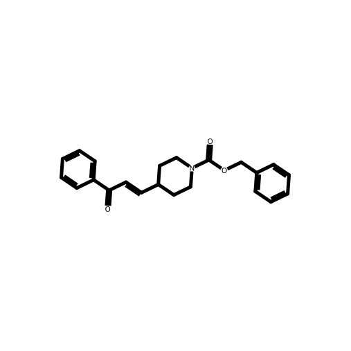 O=C(/C=C/C1CCN(C(=O)OCc2ccccc2)CC1)c1ccccc1